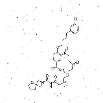 CC[C@@H](C/C=C/C[C@H](C)C[S+]([O-])NC(=O)N1CC2(CCCO2)C1)CCN(CC)c1cc(C(N)=O)ccc1OCCCCc1cccc(Cl)c1